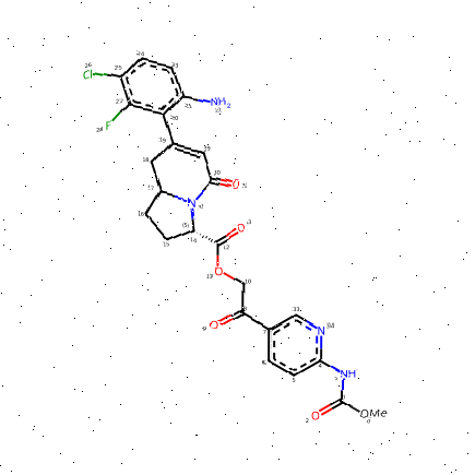 COC(=O)Nc1ccc(C(=O)COC(=O)[C@@H]2CCC3CC(c4c(N)ccc(Cl)c4F)=CC(=O)N32)cn1